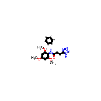 COc1cc(OC)c(NC(=O)CCc2nnn[nH]2)c(OC)c1.c1ccccc1